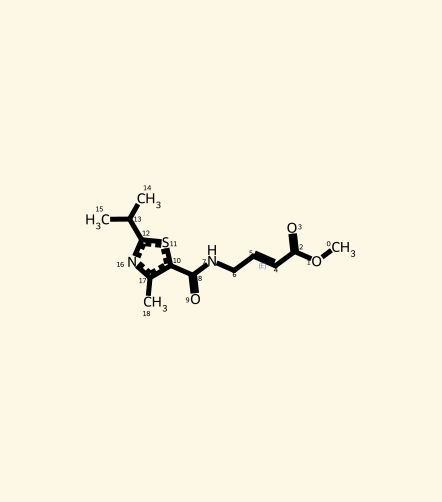 COC(=O)/C=C/CNC(=O)c1sc(C(C)C)nc1C